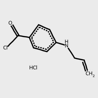 C=CCNc1ccc(C(=O)Cl)cc1.Cl